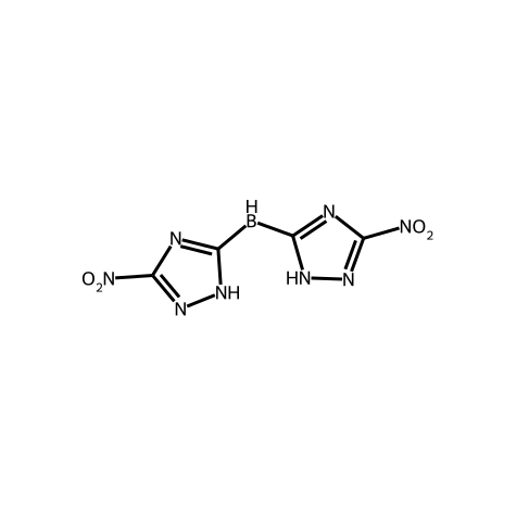 O=[N+]([O-])c1n[nH]c(Bc2nc([N+](=O)[O-])n[nH]2)n1